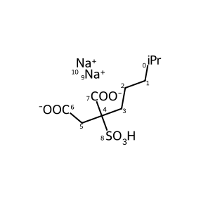 CC(C)CCCC(CC(=O)[O-])(C(=O)[O-])S(=O)(=O)O.[Na+].[Na+]